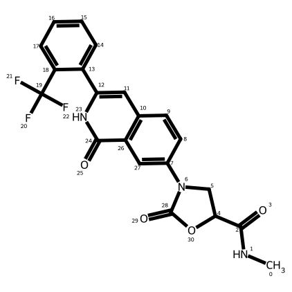 CNC(=O)C1CN(c2ccc3cc(-c4ccccc4C(F)(F)F)[nH]c(=O)c3c2)C(=O)O1